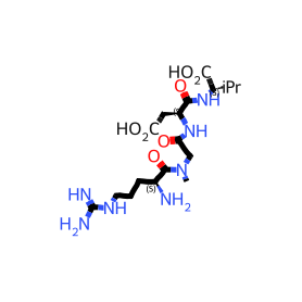 CC(C)[C@H](NC(=O)[C@H](CC(=O)O)NC(=O)CN(C)C(=O)[C@@H](N)CCCNC(=N)N)C(=O)O